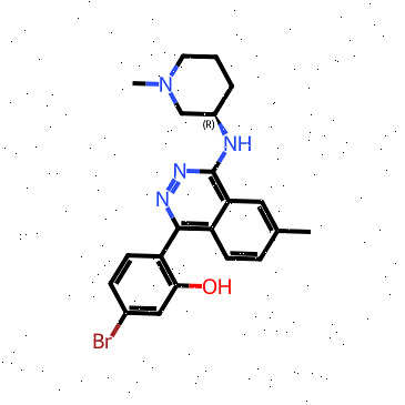 Cc1ccc2c(-c3ccc(Br)cc3O)nnc(N[C@@H]3CCCN(C)C3)c2c1